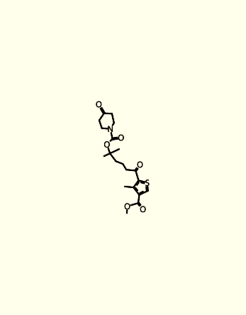 COC(=O)c1csc(C(=O)CCCC(C)(C)OC(=O)N2CCC(=O)CC2)c1C